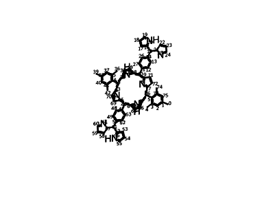 Cc1cc(C)c(-c2c3nc(c(-c4ccc(C(c5ccc[nH]5)C5C=CC=N5)cc4)c4ccc([nH]4)c(-c4c(C)cc(C)cc4C)c4nc(c(-c5ccc(C(c6ccc[nH]6)C6C=CC=N6)cc5)c5ccc2[nH]5)C=C4)C=C3)c(C)c1